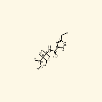 CCc1cc(C(=O)NC(C)(C)C(C)(CC)N(C)CC)no1